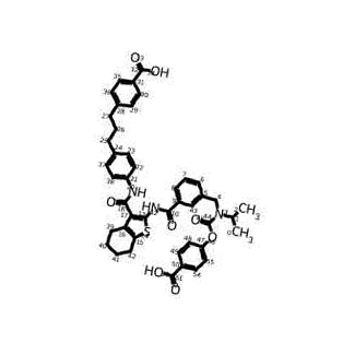 CC(C)N(Cc1cccc(C(=O)Nc2sc3c(c2C(=O)Nc2ccc(CCCc4ccc(C(=O)O)cc4)cc2)CCCC3)c1)C(=O)Oc1ccc(C(=O)O)cc1